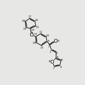 O=C(/C=C/c1ccco1)c1ccc(Oc2ccccc2)cc1